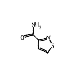 NC(=O)c1ccsn1